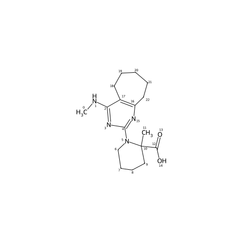 CNc1nc(N2CCCCC2(C)C(=O)O)nc2c1CCCCC2